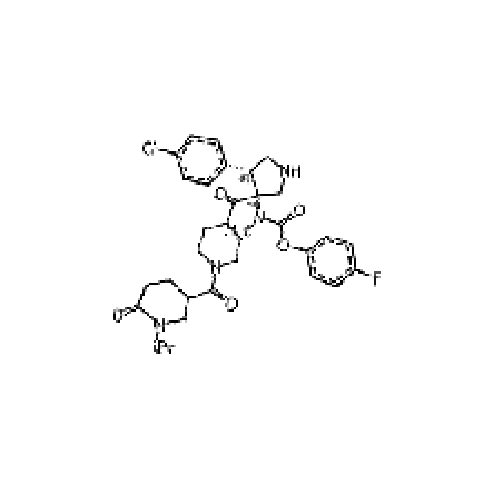 CC(C)N1CC(C(=O)N2CCC(C(=O)[C@@]3(N(C)C(=O)Oc4ccc(F)cc4)CNC[C@H]3c3ccc(Cl)cc3)CC2)CCC1=O